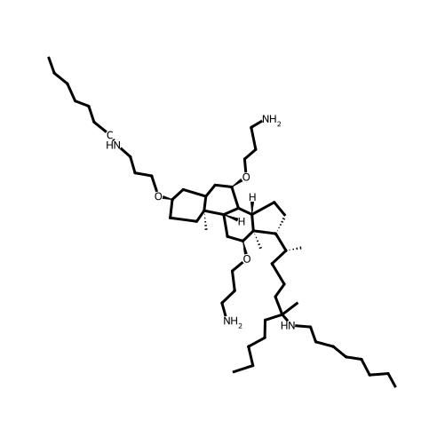 CCCCCCCCNC(C)(CCCCC)CCC[C@@H](C)[C@H]1CC[C@H]2C3[C@H](OCCCN)CC4C[C@H](OCCCNCCCCCCC)CC[C@]4(C)[C@H]3C[C@H](OCCCN)[C@]12C